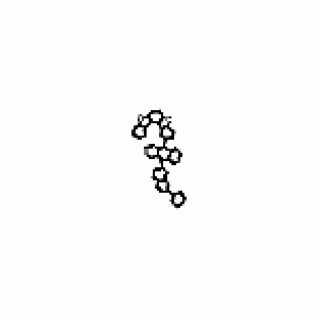 c1ccc(-c2ccc3ccc(-c4c5ccccc5c(-c5ccc6oc7ccc8oc9ccccc9c8c7c6c5)c5ccccc45)cc3c2)cc1